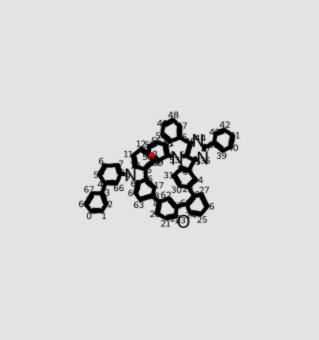 c1ccc(-c2cccc(-n3c4ccccc4c4cc(-c5ccc6oc7cccc(-c8ccc9c(c8)c8nc(-c%10ccccc%10)nc(-c%10ccccc%10)c8n9-c8ccccc8)c7c6c5)ccc43)c2)cc1